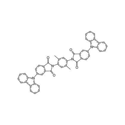 Cc1cc(N2C(=O)c3ccc(-n4c5ccccc5c5ccccc54)cc3C2=O)c(C)cc1N1C(=O)c2ccc(-n3c4ccccc4c4ccccc43)cc2C1=O